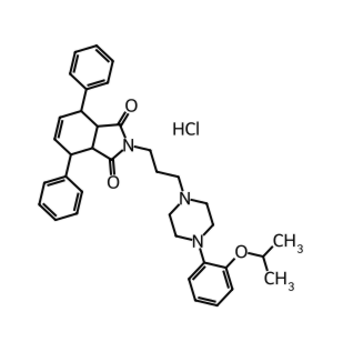 CC(C)Oc1ccccc1N1CCN(CCCN2C(=O)C3C(c4ccccc4)C=CC(c4ccccc4)C3C2=O)CC1.Cl